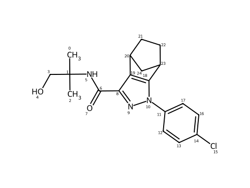 CC(C)(CO)NC(=O)c1nn(-c2ccc(Cl)cc2)c2c1C1CCC2C1